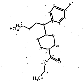 CCCC(c1ccc(F)cc1)N1CCN(C(=O)NCC)CC1.Cl